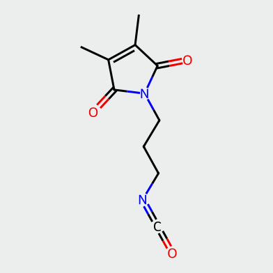 CC1=C(C)C(=O)N(CCCN=C=O)C1=O